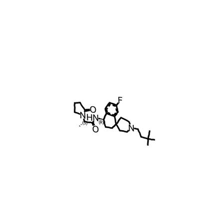 C[C@@H](C(=O)N[C@@H]1CCC2(CCN(CCC(C)(C)C)CC2)c2cc(F)ccc21)N1CCCC1=O